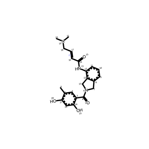 Cc1cc(C(=O)N2Cc3cccc(NC(=O)/C=C/CN(C)C)c3C2)c(O)cc1O